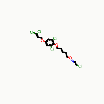 ClCC=NOCCCCCOc1c(Cl)cc(OCC=C(Cl)Cl)cc1Cl